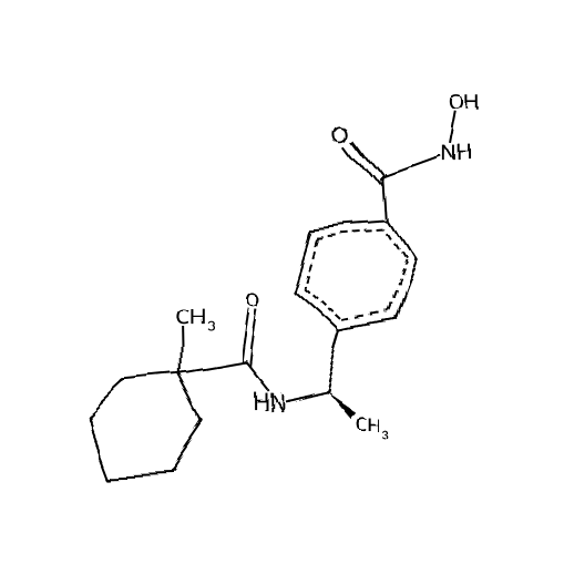 C[C@@H](NC(=O)C1(C)CCCCC1)c1ccc(C(=O)NO)cc1